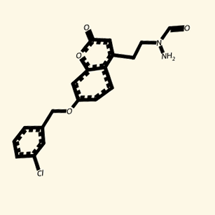 NN(C=O)CCc1cc(=O)oc2cc(OCc3cccc(Cl)c3)ccc12